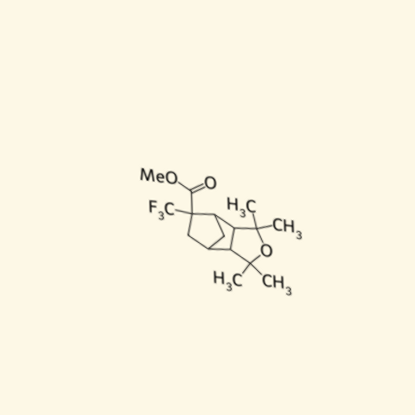 COC(=O)C1(C(F)(F)F)CC2CC1C1C2C(C)(C)OC1(C)C